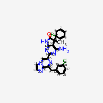 CC1(C2(F)C=CC=CC2)C(=O)Nc2nc(-c3cn4ccnc4c(Cc4cccc(Cl)c4)n3)nc(N)c21